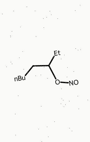 CCCCCC(CC)ON=O